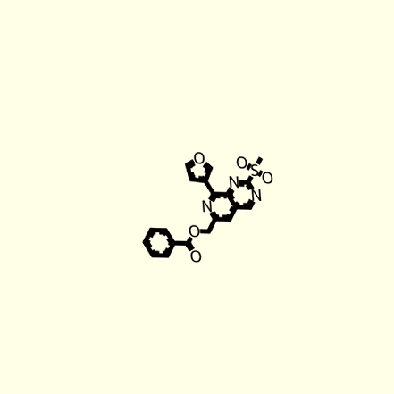 CS(=O)(=O)c1ncc2cc(COC(=O)c3ccccc3)nc(-c3ccoc3)c2n1